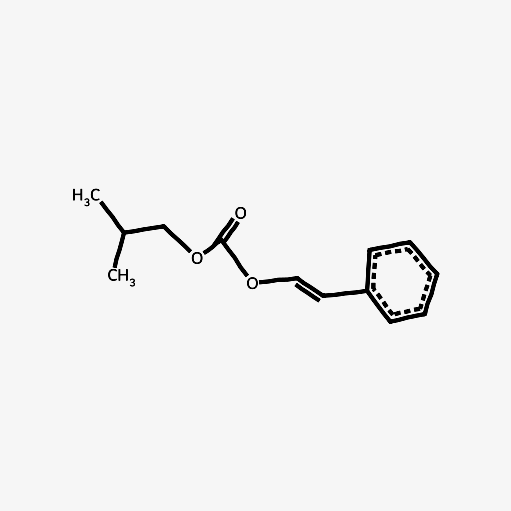 CC(C)COC(=O)OC=Cc1ccccc1